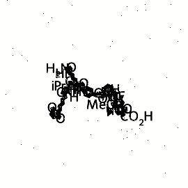 COc1c(N2C[C@@H]3CCCN(C(=O)OCc4ccc(NC(=O)[C@H](CCCNC(N)=O)NC(=O)C(NC(=O)CCCCCN5C(=O)C=CC5=O)C(C)C)cc4)[C@@H]3C2)c(F)cc2c(=O)c(C(=O)O)cn(C3CC3)c12